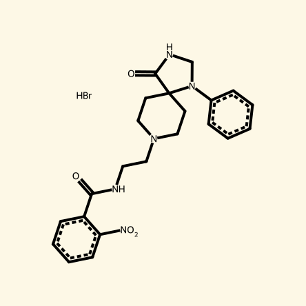 Br.O=C(NCCN1CCC2(CC1)C(=O)NCN2c1ccccc1)c1ccccc1[N+](=O)[O-]